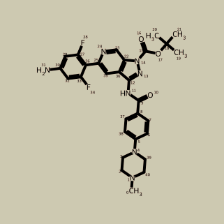 CN1CCN(c2ccc(C(=O)Nc3nn(C(=O)OC(C)(C)C)c4cnc(-c5c(F)cc(N)cc5F)cc34)cc2)CC1